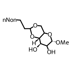 CCCCCCCCCCCC1OCC2O[C@H](OC)C(O)[C@@H](O)[C@@H]2O1